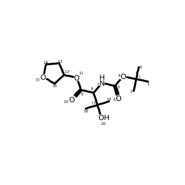 CC(C)(C)OC(=O)NC(C(=O)OC1CCOC1)C(C)(C)O